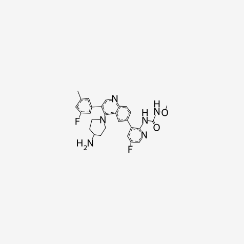 CONC(=O)Nc1ncc(F)cc1-c1ccc2ncc(-c3cc(C)cc(F)c3)c(N3CCC(N)CC3)c2c1